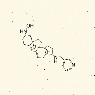 C[C@]12CC=C3C=C4CC[C@@H](NO)C[C@]45CC[C@]3(O5)[C@@H]1CC[C@@H]2NCc1cccnc1